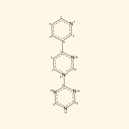 c1cncc(-c2cc[n+](-c3ncncn3)cn2)c1